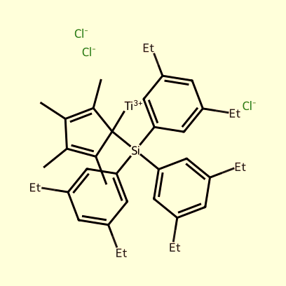 CCc1cc(CC)cc([Si](c2cc(CC)cc(CC)c2)(c2cc(CC)cc(CC)c2)[C]2([Ti+3])C(C)=C(C)C(C)=C2C)c1.[Cl-].[Cl-].[Cl-]